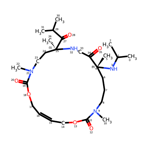 CC(C)N[C@]1(C)CCCN(C)C(=O)OCC=CCOC(=O)N(C)CC[C@@](C)(C(=O)C(C)C)NCC1=O